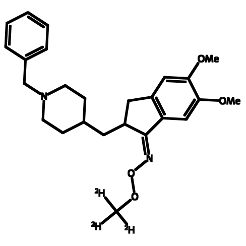 [2H]C([2H])([2H])OON=C1c2cc(OC)c(OC)cc2CC1CC1CCN(Cc2ccccc2)CC1